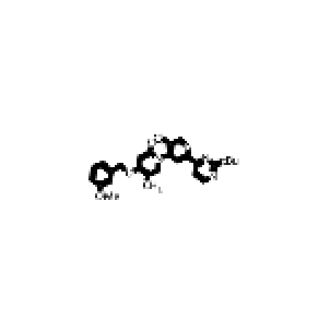 COc1cccc(COC2=C(C)CN(c3cc(-c4ccnc(C(C)(C)C)n4)ncc3Cl)C(C)=C2)c1